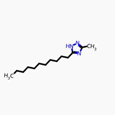 CCCCCCCCCCCc1nc(C)n[nH]1